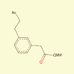 COC(=O)Cc1cccc(CCC(C)=O)c1